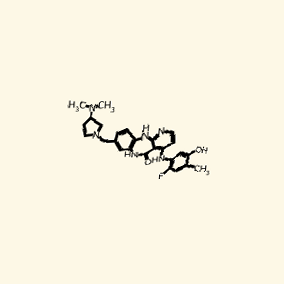 Cc1cc(F)c(Nc2ccnc3c2C(=O)Nc2cc(CN4CC[C@@H](N(C)C)C4)ccc2N3)cc1O